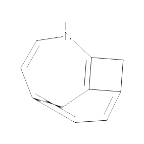 C1=CC2=CC=C3CC(=C3C2)N1